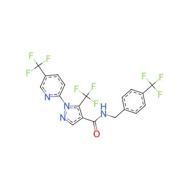 O=C(NCc1ccc(C(F)(F)F)cc1)c1cnn(-c2ccc(C(F)(F)F)cn2)c1C(F)(F)F